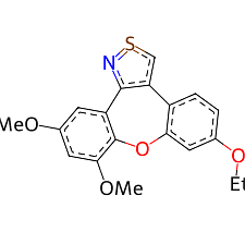 CCOc1ccc2c(c1)Oc1c(OC)cc(OC)cc1-c1nscc1-2